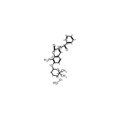 CO[C@@H]1CCC(Oc2ccc3cc(NC(=O)c4ccccn4)c(=O)oc3c2C)OC1(C)C